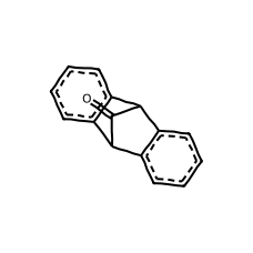 O=C1C2c3ccccc3C1c1ccccc12